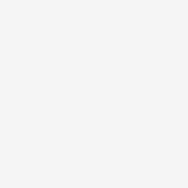 Cc1ccc(-c2ccccc2O)cc1-c1ccccc1